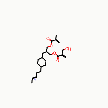 C=C(C)C(=O)OCC(COC(=O)C(=C)CO)CC1CCC(CC/C=C/C)CC1